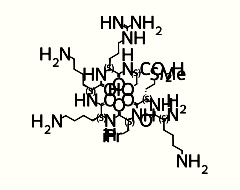 CSCC[C@H](NC(=O)[C@@H](N)CCCCN)C(=O)N[C@@H](CC(C)C)C(=O)N[C@@H](CCCCN)C(=O)N[C@@H](CCCCN)C(=O)N[C@@H](CCCNC(=N)N)C(=O)N[C@@H](CO)C(=O)O